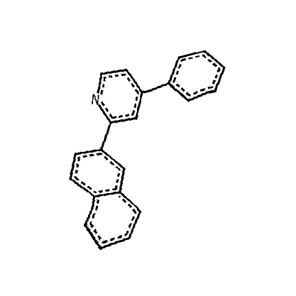 c1ccc(-c2ccnc(-c3ccc4ccccc4c3)c2)cc1